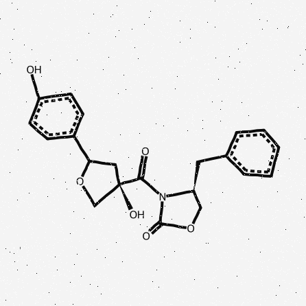 O=C1OC[C@H](Cc2ccccc2)N1C(=O)[C@]1(O)COC(c2ccc(O)cc2)C1